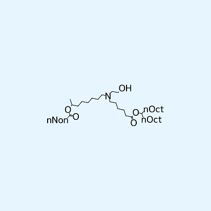 CCCCCCCCCC(=O)OC(C)CCCCCCN(CCO)CCCCCC(=O)OC(CCCCCCCC)CCCCCCCC